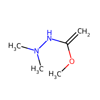 C=C(NN(C)C)OC